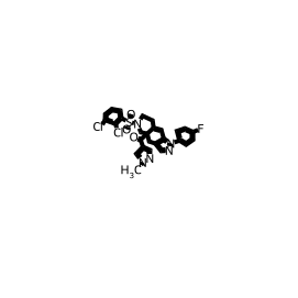 Cn1cc(C(=O)C23Cc4cnn(-c5ccc(F)cc5)c4C=C2CCN(S(=O)(=O)c2cccc(Cl)c2Cl)C3)cn1